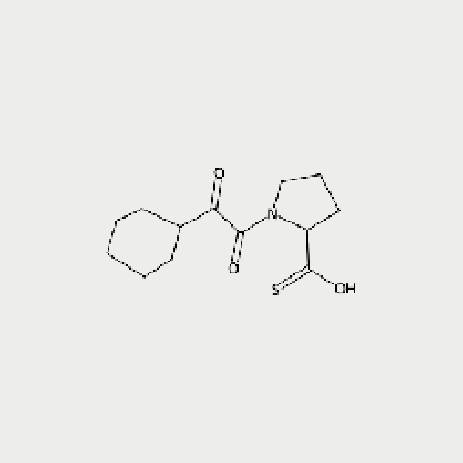 O=C(C(=O)N1CCCC1C(O)=S)C1CCCCC1